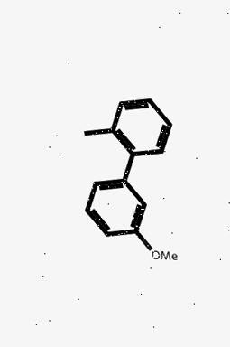 COc1cccc(-c2[c]cccc2C)c1